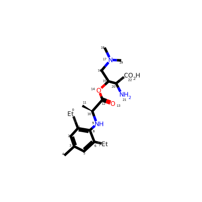 CCc1cc(C)cc(CC)c1N[C@@H](C)C(=O)OC(CN(C)C)C(N)C(=O)O